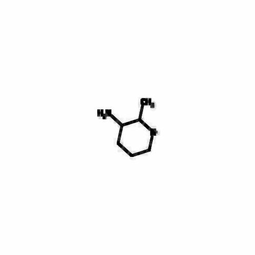 CC1[N]CCCC1N